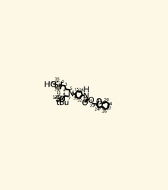 CC(C)(CCCN(CCO[Si](C)(C)C(C)(C)C)c1ccc(NC(=O)OCc2cc3ccccc3o2)cc1)[Si](C)(C)O